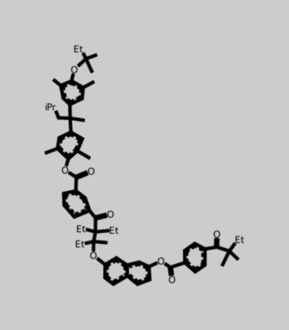 CCC(C)(C)Oc1c(C)cc(C(C)(CC(C)C)c2cc(C)c(OC(=O)c3cccc(C(=O)C(CC)(CC)C(C)(CC)Oc4ccc5ccc(OC(=O)c6ccc(C(=O)C(C)(C)CC)cc6)cc5c4)c3)c(C)c2)cc1C